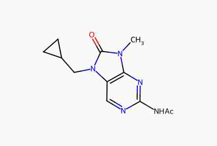 CC(=O)Nc1ncc2c(n1)n(C)c(=O)n2CC1CC1